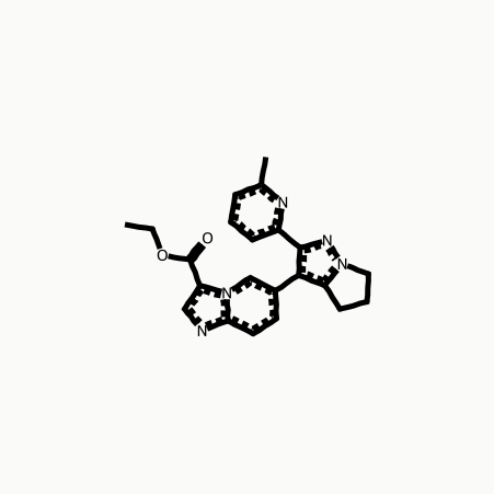 CCOC(=O)c1cnc2ccc(-c3c(-c4cccc(C)n4)nn4c3CCC4)cn12